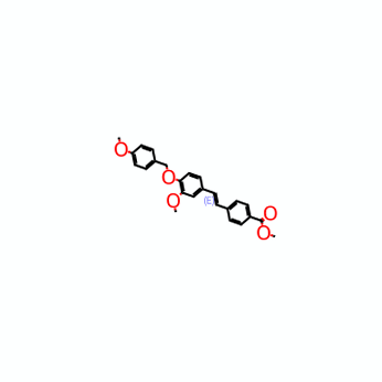 COC(=O)c1ccc(/C=C/c2ccc(OCc3ccc(OC)cc3)c(OC)c2)cc1